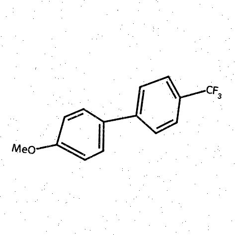 COc1ccc(-c2ccc(C(F)(F)F)cc2)cc1